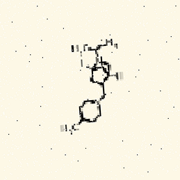 CC1CCN(CC2C[C@H]3C[C@@H]2CN3C(C)C)CC1